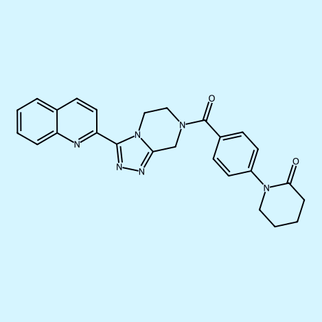 O=C(c1ccc(N2CCCCC2=O)cc1)N1CCn2c(nnc2-c2ccc3ccccc3n2)C1